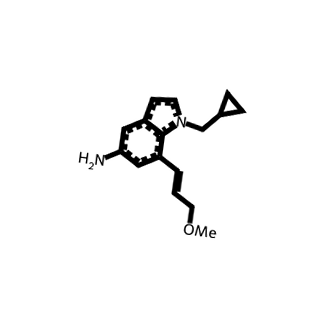 COC/C=C/c1cc(N)cc2ccn(CC3CC3)c12